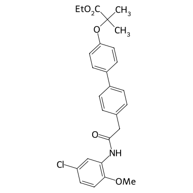 CCOC(=O)C(C)(C)Oc1ccc(-c2ccc(CC(=O)Nc3cc(Cl)ccc3OC)cc2)cc1